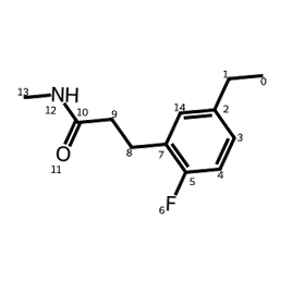 CCc1ccc(F)c(CCC(=O)NC)c1